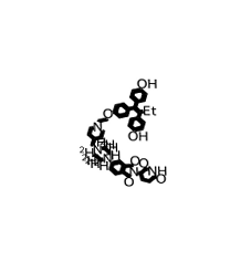 [2H]C1([2H])N(CC2CCN(CCOc3ccc(C(=C(CC)c4ccc(O)cc4)c4ccc(O)cc4)cc3)CC2)C([2H])([2H])C([2H])([2H])N(c2ccc3c(c2)C(=O)N(C2CCC(=O)NC2=O)C3=O)C1([2H])[2H]